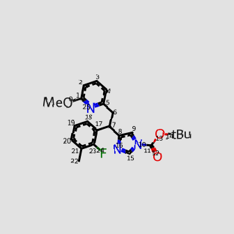 COc1cccc(CC(c2cn(C(=O)OC(C)(C)C)cn2)c2cccc(C)c2F)n1